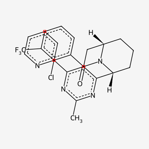 Cc1nc(-c2ccccn2)c2c(n1)[C@H]1CCC[C@@H](C2)N1C(=O)c1cccc(C(F)(F)F)c1Cl